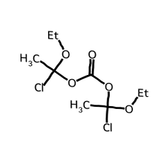 CCOC(C)(Cl)OC(=O)OC(C)(Cl)OCC